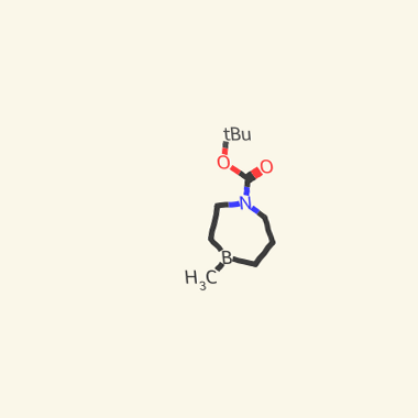 CB1CCCN(C(=O)OC(C)(C)C)CC1